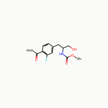 CNC(=O)c1ccc(CC(CO)NC(=O)OC(C)(C)C)cc1F